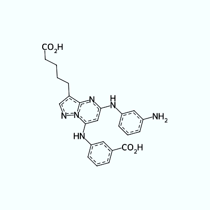 Nc1cccc(Nc2cc(Nc3cccc(C(=O)O)c3)n3ncc(CCCCC(=O)O)c3n2)c1